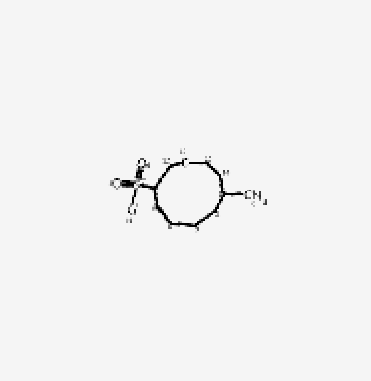 CC1CCCCC(S(=O)(=O)Cl)CCCC1